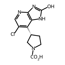 O=C(O)N1CC[C@@H](c2c(Cl)cnc3nc(O)[nH]c23)C1